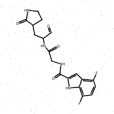 O=CC(CC1CCNC1=O)NC(=O)CNC(=O)c1cc2c(F)ccc(F)c2[nH]1